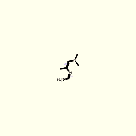 CC(=C/N(C)C)/N=C\N